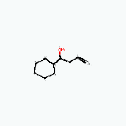 C=CC[C](O)C1CCCCC1